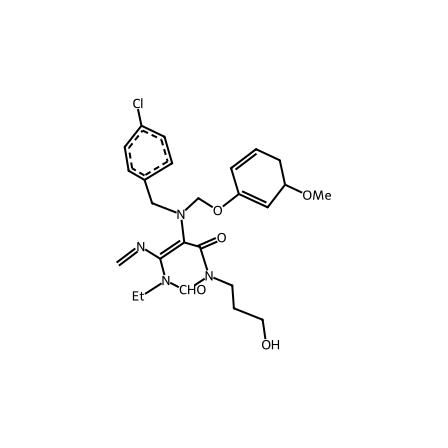 C=N/C(=C(/C(=O)N(C)CCCO)N(COC1=CC(OC)CC=C1)Cc1ccc(Cl)cc1)N(C=O)CC